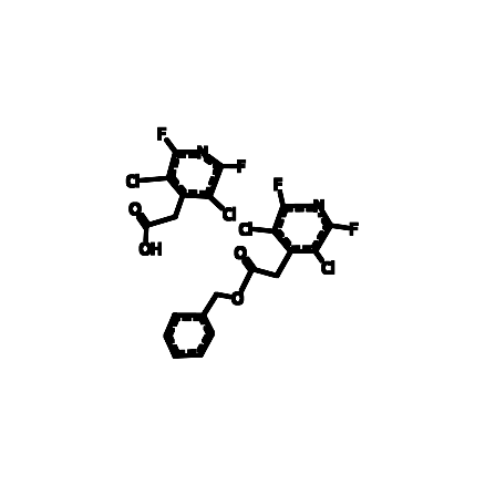 O=C(Cc1c(Cl)c(F)nc(F)c1Cl)OCc1ccccc1.O=C(O)Cc1c(Cl)c(F)nc(F)c1Cl